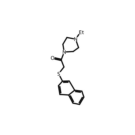 CCN1CCN(C(=O)CSc2ccc3ccccc3c2)CC1